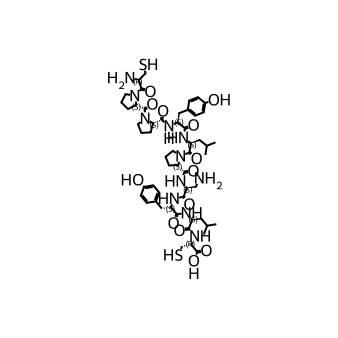 CC(C)C[C@H](NC(=O)[C@H](Cc1ccc(O)cc1)NC(=O)[C@H](CN)NC(=O)[C@@H]1CCCN1C(=O)[C@H](CC(C)C)NC(=O)[C@H](Cc1ccc(O)cc1)NC(=O)[C@@H]1CCCN1C(=O)[C@@H]1CCCN1C(=O)[C@@H](N)CS)C(=O)N[C@@H](CS)C(=O)O